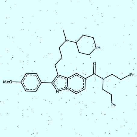 COc1ccc(-c2nn3ccc(C(=O)N(CCC(C)C)CCC(C)C)cc3c2CCCN(C)C2CCNCC2)cc1